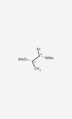 CN[C@@H](C(C)=O)[C@H](C)OC